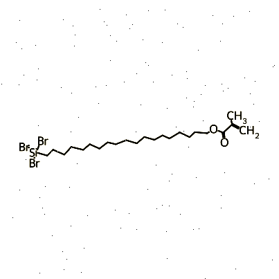 C=C(C)C(=O)OCCCCCCCCCCCCCCCCCCC[Si](Br)(Br)Br